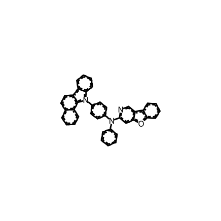 c1ccc(N(c2ccc(-n3c4ccccc4c4ccc5ccccc5c43)cc2)c2cc3oc4ccccc4c3cn2)cc1